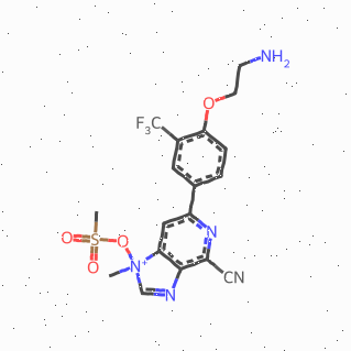 C[N+]1(OS(C)(=O)=O)C=Nc2c1cc(-c1ccc(OCCN)c(C(F)(F)F)c1)nc2C#N